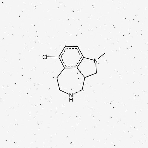 CN1CC2CNCCc3c(Cl)ccc1c32